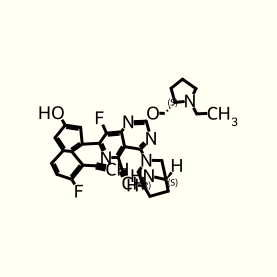 C#Cc1c(F)ccc2cc(O)cc(-c3nc(C#C)c4c(N5C[C@H]6CC[C@@H](C5)N6)nc(OC[C@@H]5CCCN5CC)nc4c3F)c12